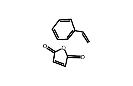 C=Cc1ccccc1.O=C1C=CC(=O)O1